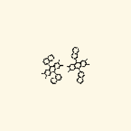 Cc1cc2c(-c3ccc4ccccc4c3)c3cc(C)c(C)cc3c(-c3ccc4ccccc4c3)c2cc1C.Cc1cc2c(-c3cccc4ccccc34)c3cc(C)c(C)cc3c(-c3cccc4ccccc34)c2cc1C